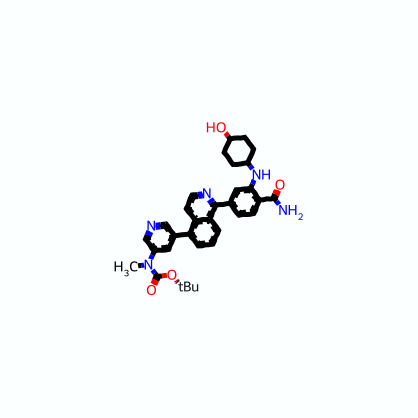 CN(C(=O)OC(C)(C)C)c1cncc(-c2cccc3c(-c4ccc(C(N)=O)c(NC5CCC(O)CC5)c4)nccc23)c1